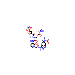 CNC(=O)C(=O)CCC(NC(=O)c1coc(S(N)(=O)=O)c1)C(=O)Nc1cccn(CC(=O)NC2C3CC(CN2C)CC(C)(NC(C)=O)C3)c1=O